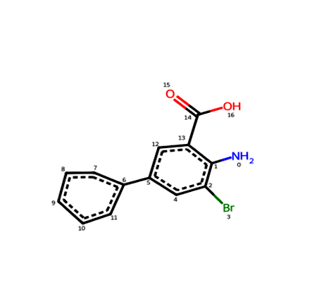 Nc1c(Br)cc(-c2ccccc2)cc1C(=O)O